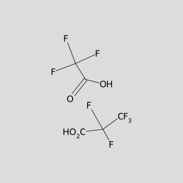 O=C(O)C(F)(F)C(F)(F)F.O=C(O)C(F)(F)F